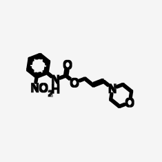 O=C(Nc1ccccc1[N+](=O)[O-])OC/C=C/N1CCOCC1